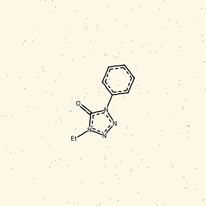 [CH2]Cn1nnn(-c2ccccc2)c1=O